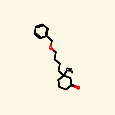 CC1(CCCCOCc2ccccc2)CCCC(=O)C1